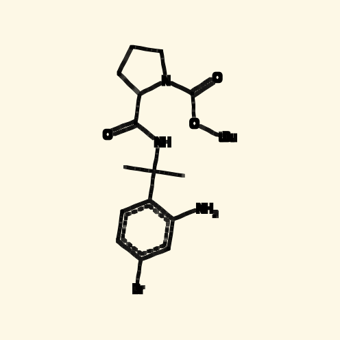 CC(C)(C)OC(=O)N1CCCC1C(=O)NC(C)(C)c1ccc(Br)cc1N